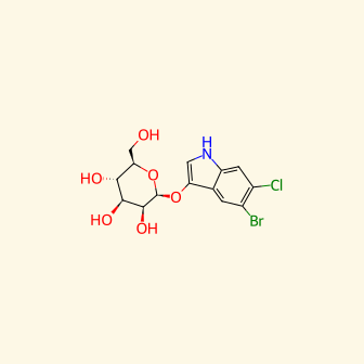 OC[C@H]1O[C@@H](Oc2c[nH]c3cc(Cl)c(Br)cc23)[C@@H](O)[C@@H](O)[C@@H]1O